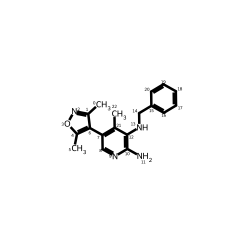 Cc1noc(C)c1-c1cnc(N)c(NCc2ccccc2)c1C